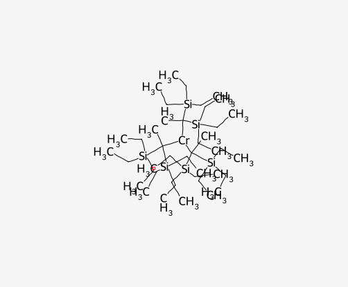 CC[Si](CC)(CC)[C](C)([Cr]([C](C)([Si](CC)(CC)CC)[Si](CC)(CC)CC)[C](C)([Si](CC)(CC)CC)[Si](CC)(CC)CC)[Si](CC)(CC)CC